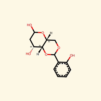 Oc1ccccc1C1OC[C@H]2OC(O)C[C@@H](O)[C@H]2O1